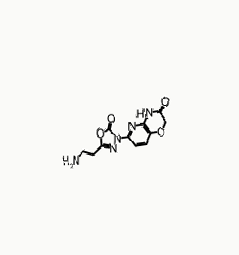 NCCc1nn(-c2ccc3c(n2)NC(=O)CO3)c(=O)o1